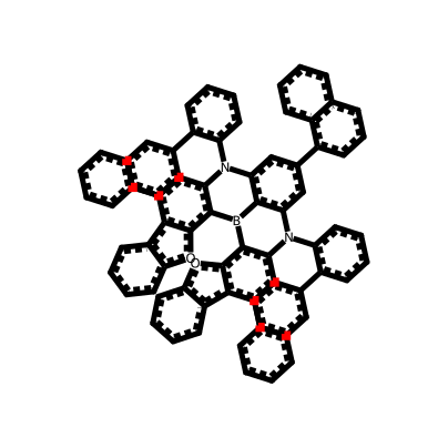 c1ccc(-c2ccccc2N2c3cc(-c4cccc5ccccc45)cc4c3B(c3c2cc(-c2ccccc2)c2c3oc3ccccc32)c2c(cc(-c3ccccc3)c3c2oc2ccccc23)N4c2ccccc2-c2ccccc2)cc1